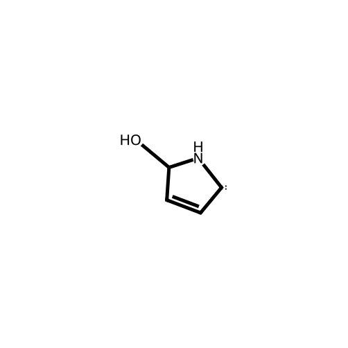 OC1C=C[C]N1